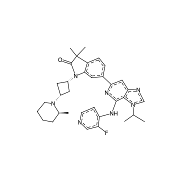 CC(C)n1cnc2cc(-c3ccc4c(c3)N([C@H]3C[C@@H](N5CCCC[C@@H]5C)C3)C(=O)C4(C)C)nc(Nc3ccncc3F)c21